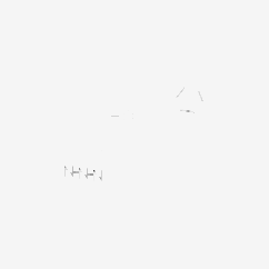 [N-]=[N+]=N[C@H]1CC[C@H](C(O)CCCc2ccccc2)CC1